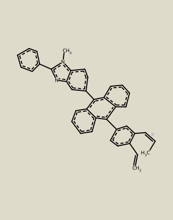 C=Cc1ccc(-c2c3ccccc3c(-c3ccc4c(c3)nc(-c3ccccc3)n4C)c3ccccc23)cc1/C=C\C